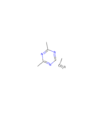 CC(=O)O.Cc1ncnc(C)n1